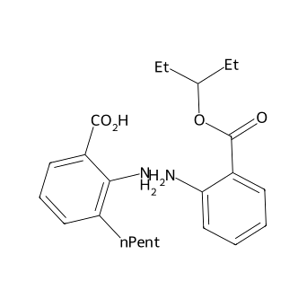 CCC(CC)OC(=O)c1ccccc1N.CCCCCc1cccc(C(=O)O)c1N